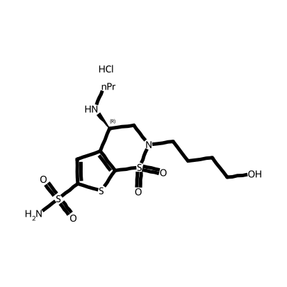 CCCN[C@H]1CN(CCCCO)S(=O)(=O)c2sc(S(N)(=O)=O)cc21.Cl